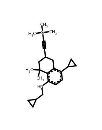 CC1(C)CC(C#C[Si](C)(C)C)Cc2c(C3CC3)ccc(NCC3CC3)c21